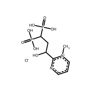 C[n+]1cccnc1C(O)CC(P(=O)(O)O)P(=O)(O)O.[Cl-]